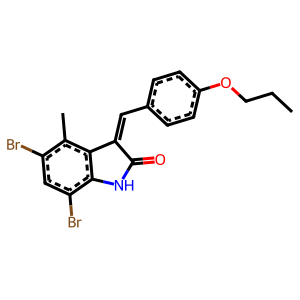 CCCOc1ccc(C=C2C(=O)Nc3c(Br)cc(Br)c(C)c32)cc1